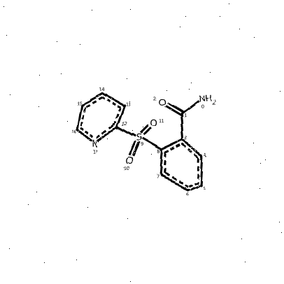 NC(=O)c1ccccc1S(=O)(=O)c1ccccn1